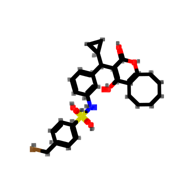 O=c1oc2c(c(O)c1C(c1cccc(NS(=O)(=O)c3ccc(CBr)cc3)c1)C1CC1)CCCCCC2